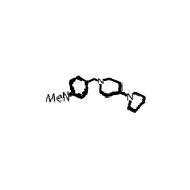 CNc1ccc(CN2CCC(N3CCCCC3)CC2)cc1